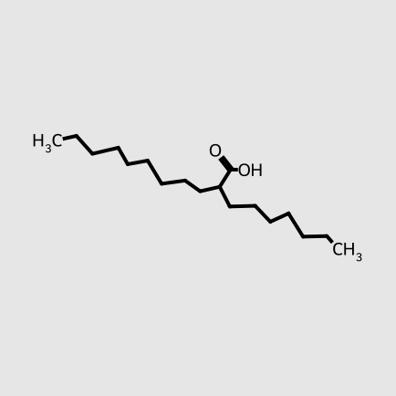 CCCCCCCCCC(CCCCCCC)C(=O)O